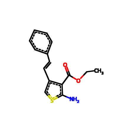 CCOC(=O)c1c(/C=C/c2ccccc2)csc1N